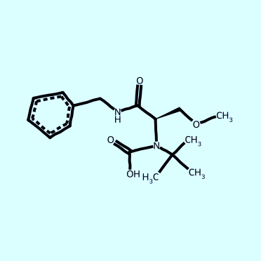 COC[C@H](C(=O)NCc1ccccc1)N(C(=O)O)C(C)(C)C